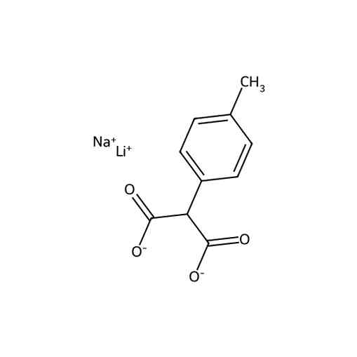 Cc1ccc(C(C(=O)[O-])C(=O)[O-])cc1.[Li+].[Na+]